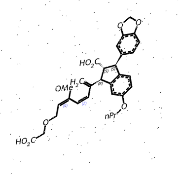 C=C(/C=C\C(=C/COCC(=O)O)OC)[C@@H]1c2cc(OCCC)ccc2[C@H](c2ccc3c(c2)OCO3)[C@H]1C(=O)O